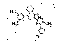 CC[C@H]1CCN(c2nc3cc([C@@H]4CCCCN4C(=O)c4cc(C)cc(C)n4)nn3cc2C)C1